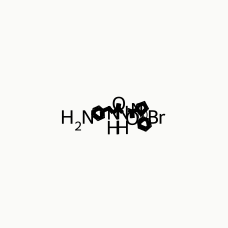 Nc1ccc(CNC(=O)NCC(=O)N2CCC[C@@H]2c2ccccc2Br)cc1